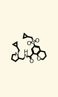 O=C(NCC1CCCN1CC1CC1)c1cc(S(=O)(=O)CC2CC2)cc2c1OCCC2